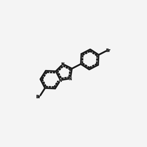 Brc1ccc(-c2nc3ccc(Br)cn3n2)cc1